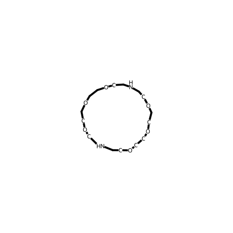 C1COCCOCCOCCNCCOCCOCCOCCN1